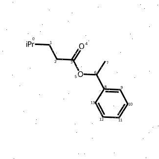 CC(C)CCC(=O)OC(C)c1ccccc1